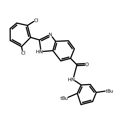 CC(C)(C)c1ccc(C(C)(C)C)c(NC(=O)c2ccc3nc(-c4c(Cl)cccc4Cl)[nH]c3c2)c1